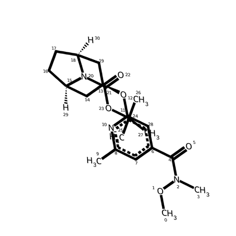 CON(C)C(=O)c1cc(C)nc(O[C@H]2C[C@H]3CC[C@@H](C2)N3C(=O)OC(C)(C)C)c1